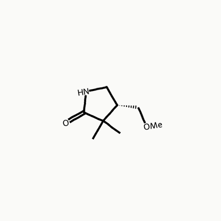 COC[C@H]1CNC(=O)C1(C)C